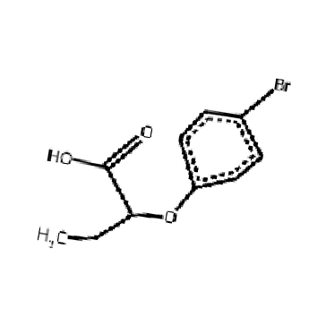 CCC(Oc1ccc(Br)cc1)C(=O)O